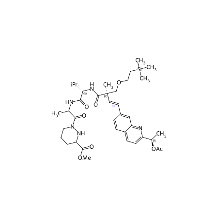 COC(=O)C1CCCN(C(=O)C(C)NC(=O)[C@@H](NC(=O)[C@](C)(/C=C/c2ccc3ccc([C@@H](C)OC(C)=O)nc3c2)COCC[Si](C)(C)C)C(C)C)N1